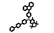 Cc1cc2c(cc1N(c1ccc(-c3ccc(-c4ccccc4)cc3)cc1)c1ccc(-c3cc4ccccc4c4ccccc34)cc1)C(C)(C)CCC2(C)C